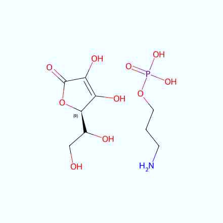 NCCCOP(=O)(O)O.O=C1O[C@H](C(O)CO)C(O)=C1O